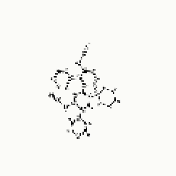 N#COc1ccc(C2(c3ccc(OC#N)c(-c4ccccc4)c3)CCCCC2)cc1-c1ccccc1